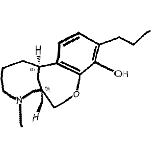 CCCc1ccc2c(c1O)OC[C@H]1[C@H]2CCCN1C